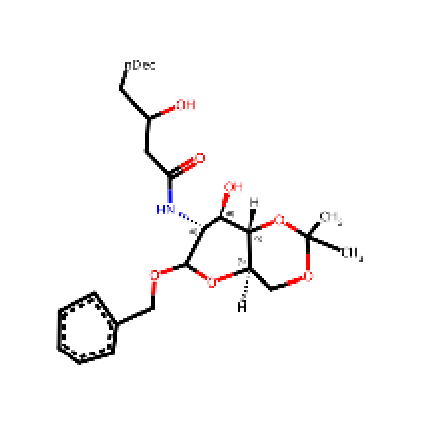 CCCCCCCCCCCC(O)CC(=O)N[C@H]1C(OCc2ccccc2)O[C@@H]2COC(C)(C)O[C@H]2[C@@H]1O